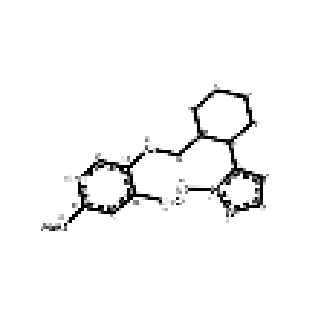 CCn1nccc1C1CCCCC1COc1cnc(OC)cc1C=O